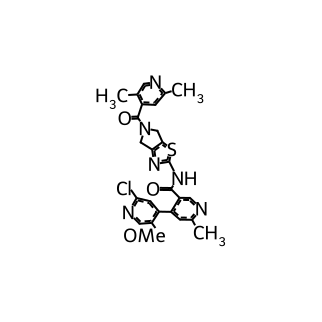 COc1cnc(Cl)cc1-c1cc(C)ncc1C(=O)Nc1nc2c(s1)CN(C(=O)c1cc(C)ncc1C)C2